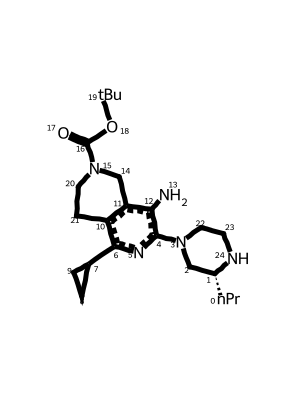 CCC[C@@H]1CN(c2nc(C3CC3)c3c(c2N)CN(C(=O)OC(C)(C)C)CC3)CCN1